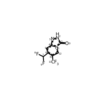 O=c1[nH]nc2cc(C(F)F)c(C(F)(F)F)cn12